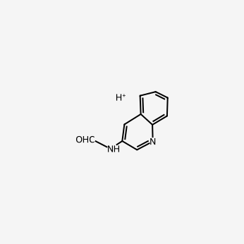 O=CNc1cnc2ccccc2c1.[H+]